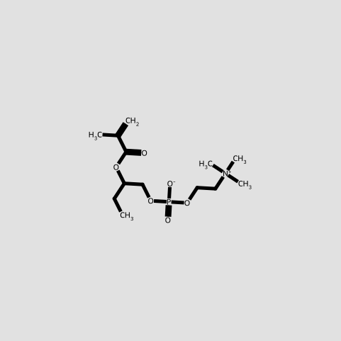 C=C(C)C(=O)OC(CC)COP(=O)([O-])OCC[N+](C)(C)C